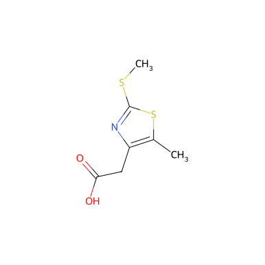 CSc1nc(CC(=O)O)c(C)s1